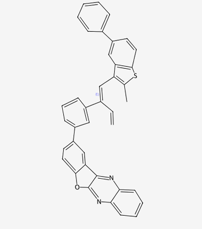 C=C/C(=C\c1c(C)sc2ccc(-c3ccccc3)cc12)c1cccc(-c2ccc3oc4nc5ccccc5nc4c3c2)c1